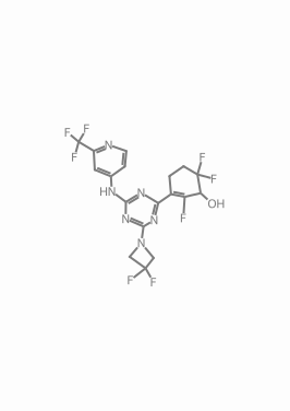 OC1C(F)=C(c2nc(Nc3ccnc(C(F)(F)F)c3)nc(N3CC(F)(F)C3)n2)CCC1(F)F